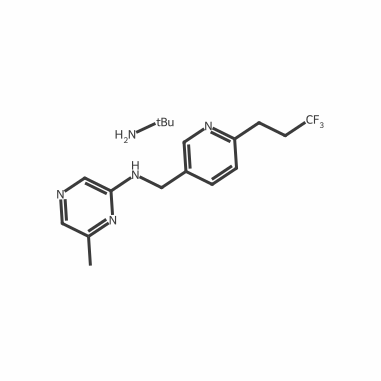 CC(C)(C)N.Cc1cncc(NCc2ccc(CCC(F)(F)F)nc2)n1